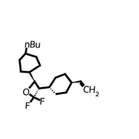 C=C[C@H]1CC[C@H]([C@H]2[C@H](C3CCC(CCCC)CC3)OC2(F)F)CC1